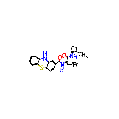 CC(C)C[C@@H](NC(=O)C1=CC2Nc3ccccc3SC2C=C1)C(=O)N[C@H]1CCCC1C